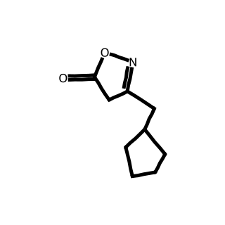 O=C1CC(CC2CCCC2)=NO1